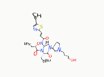 C#Cc1cnc(/C=C/C(=O)N2O[C@H](CC(C)C)C(=O)N3[C@@H]2CN([C@H]2CCN(CCCCO)C2)C(=O)[C@@H]3CC(C)(C)C)s1